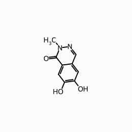 Cn1ncc2cc(O)c(O)cc2c1=O